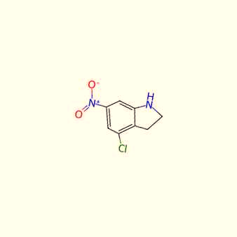 O=[N+]([O-])c1cc(Cl)c2c(c1)NCC2